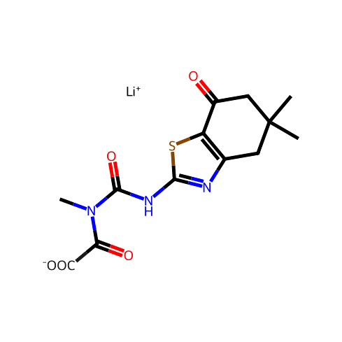 CN(C(=O)Nc1nc2c(s1)C(=O)CC(C)(C)C2)C(=O)C(=O)[O-].[Li+]